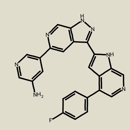 Nc1cncc(-c2cc3c(-c4cc5c(-c6ccc(F)cc6)cncc5[nH]4)n[nH]c3cn2)c1